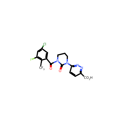 O=C(O)c1ccc(N2CCCN(C(=O)c3cc(Cl)cc(F)c3C(F)(F)F)C2=O)nn1